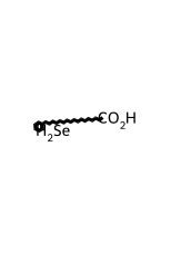 O=C(O)CCCCCCCCCCCCCCCCc1ccccc1.[SeH2]